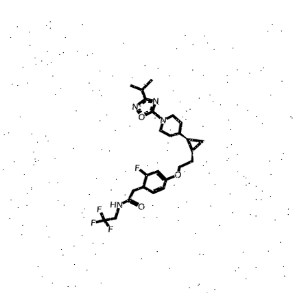 CC(C)c1noc(N2CCC([C@H]3C[C@H]3CCOC3=CC(F)C(CC(=O)NCC(F)(F)F)C=C3)CC2)n1